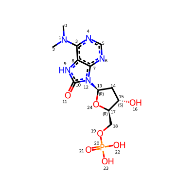 CN(C)c1ncnc2c1[nH]c(=O)n2[C@H]1C[C@H](O)[C@@H](COP(=O)(O)O)O1